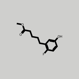 COC(=O)CCCCc1cc(O)ccc1F